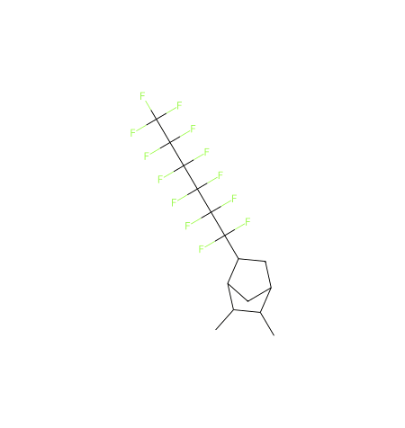 CC1C2CC(C1C)C(C(F)(F)C(F)(F)C(F)(F)C(F)(F)C(F)(F)C(F)(F)F)C2